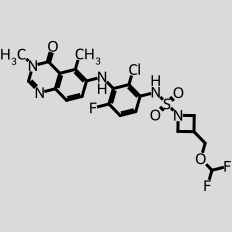 Cc1c(Nc2c(F)ccc(NS(=O)(=O)N3CC(COC(F)F)C3)c2Cl)ccc2ncn(C)c(=O)c12